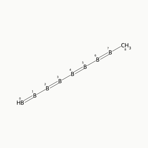 B=BB=BB=BB=BC